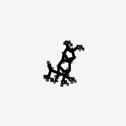 CC1=C(C)C2CC1C1C2C2CC1C(C)(C)C2(C)C(=O)O